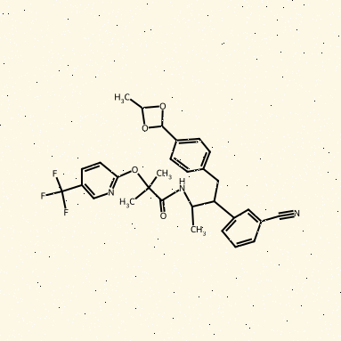 CC1OC(c2ccc(CC(c3cccc(C#N)c3)C(C)NC(=O)C(C)(C)Oc3ccc(C(F)(F)F)cn3)cc2)O1